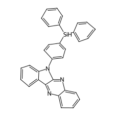 c1ccc([SiH](c2ccccc2)c2ccc(-n3c4ccccc4c4nc5ccccc5nc43)cc2)cc1